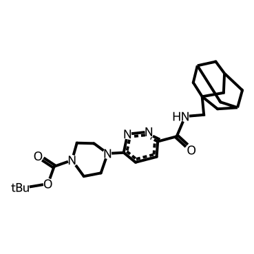 CC(C)(C)OC(=O)N1CCN(c2ccc(C(=O)NCC34CC5CC(CC(C5)C3)C4)nn2)CC1